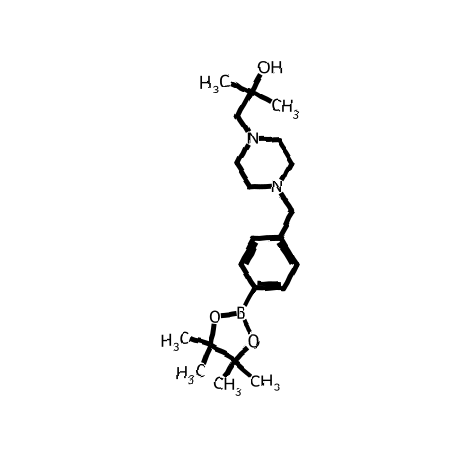 CC(C)(O)CN1CCN(Cc2ccc(B3OC(C)(C)C(C)(C)O3)cc2)CC1